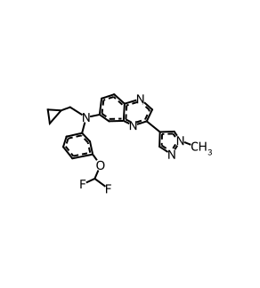 Cn1cc(-c2cnc3ccc(N(CC4CC4)c4cccc(OC(F)F)c4)cc3n2)cn1